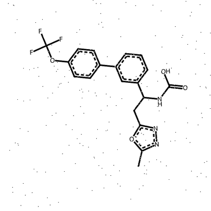 Cc1nnc(CC(NC(=O)O)c2cccc(-c3ccc(OC(F)(F)F)cc3)c2)o1